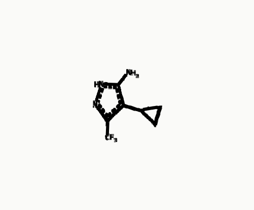 Nc1[nH]nc(C(F)(F)F)c1C1CC1